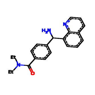 CCN(CC)C(=O)c1ccc(C(N)c2cccc3cccnc23)cc1